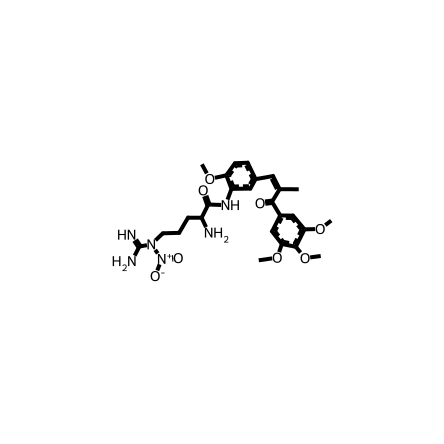 COc1ccc(C=C(C)C(=O)c2cc(OC)c(OC)c(OC)c2)cc1NC(=O)C(N)CCCN(C(=N)N)[N+](=O)[O-]